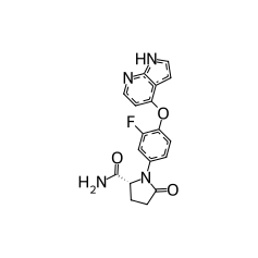 NC(=O)[C@H]1CCC(=O)N1c1ccc(Oc2ccnc3[nH]ccc23)c(F)c1